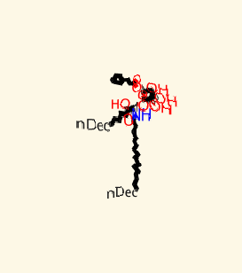 CCCCCCCCCCCCCCCCCCCCCCCCCC(=O)N[C@@H](CO[C@H]1O[C@H](COC(=O)CCc2ccccc2)[C@H](O)[C@H](O)[C@H]1O)[C@H](O)CCCCCCCCCCCCCCC